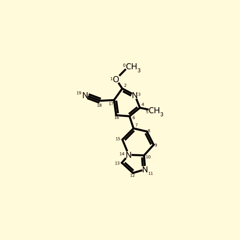 COc1nc(C)c(-c2ccc3nccn3c2)cc1C#N